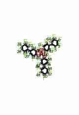 Fc1c(F)c(F)c(-c2c(F)c(F)c([O][Al]([O]c3c(F)c(F)c(-c4c(F)c(F)c(F)c(F)c4F)c(F)c3F)[O]c3c(F)c(F)c(-c4c(F)c(F)c(F)c(F)c4F)c(F)c3F)c(F)c2F)c(F)c1F